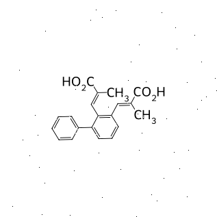 CC(=Cc1cccc(-c2ccccc2)c1C=C(C)C(=O)O)C(=O)O